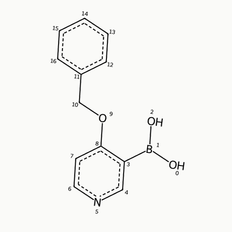 OB(O)c1cnccc1OCc1ccccc1